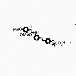 COc1ccc(NC(=O)Nc2cccc(CCc3ccc(OC(C)(C)C(=O)O)cc3)c2)c(OC)c1